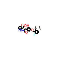 CCc1cccc(F)c1COc1ccc2c(c1)OCC(NC1(CC(=O)O)CCCC1)C2